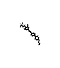 CCCCC1CCC(c2ccc(C#Cc3cc(F)c(/C=C/C(F)(F)F)c(F)c3)cc2)CC1